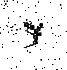 CCCCCCc1csc(-c2cc(CCCCCC)c(Bc3sc(-c4cc5c(C)c6sc(C)cc6c(C)c5s4)c4sc(C(C)=O)cc34)s2)c1